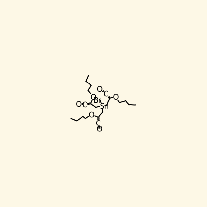 CCCCOC(=C=O)[CH2][Sn]([Br])([CH2]C(=C=O)OCCCC)[CH2]C(=C=O)OCCCC